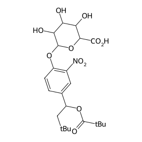 CC(C)(C)CC(OC(=O)C(C)(C)C)c1ccc(OC2OC(C(=O)O)C(O)C(O)C2O)c([N+](=O)[O-])c1